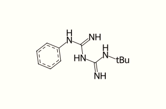 CC(C)(C)NC(=N)NC(=N)Nc1ccccc1